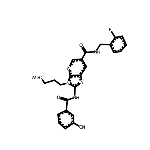 COCCCn1c(NC(=O)c2cccc(C#N)c2)nc2cc(C(=O)NCc3ccccc3F)cnc21